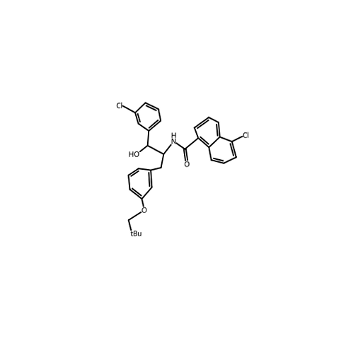 CC(C)(C)COc1cccc(CC(NC(=O)c2cccc3c(Cl)cccc23)C(O)c2cccc(Cl)c2)c1